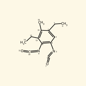 CCc1cc(N=C=O)c(N=C=O)c(CC)c1C